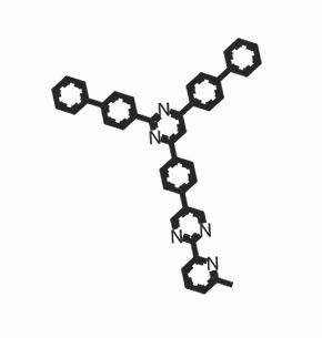 Cc1cccc(-c2ncc(-c3ccc(-c4cc(-c5ccc(-c6ccccc6)cc5)nc(-c5ccc(-c6ccccc6)cc5)n4)cc3)cn2)n1